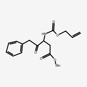 C=CCOC(=O)NC(CC(=O)OC(C)(C)C)C(=O)Cc1ccccc1